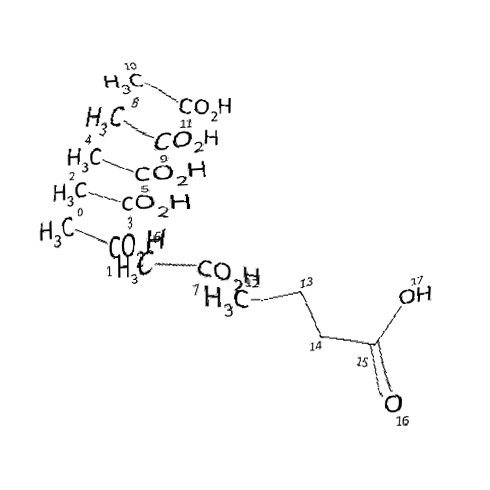 CC(=O)O.CC(=O)O.CC(=O)O.CC(=O)O.CC(=O)O.CC(=O)O.CCCC(=O)O